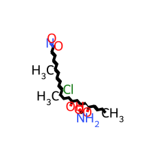 CC/C=C/[C@H](CCCC(O)CC[C@H](C)/C(Cl)=C/C=C/C=C(C)/C=C/C=C/C(=O)N=O)OC(N)=O